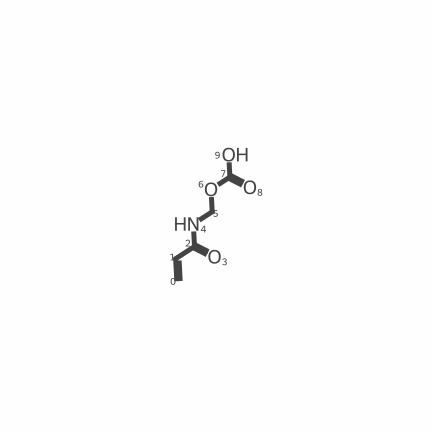 C=CC(=O)NCOC(=O)O